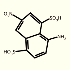 Nc1ccc(S(=O)(=O)O)c2cc([N+](=O)[O-])cc(S(=O)(=O)O)c12